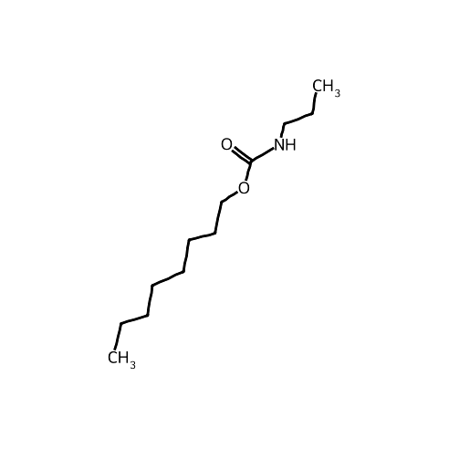 CCCCCCCCOC(=O)NCCC